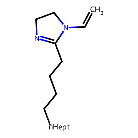 C=CN1CCN=C1CCCCCCCCCCC